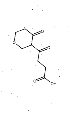 O=C(O)CCC(=O)C1COCCC1=O